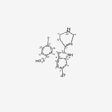 CCc1ccc2cc(C3=CCNCC3)[nH]c2c1.Cc1ccc(S(=O)(=O)O)cc1